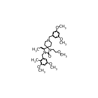 C/C=C1\N(Cc2cc(OC)cc(OC)c2C)C(=O)N(CCOC)C12CCN(Cc1cc(OC)cc(OC)c1)CC2